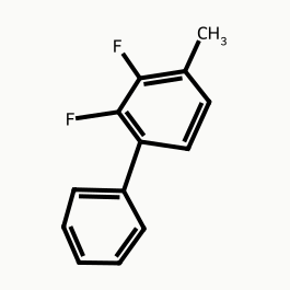 Cc1ccc(-c2ccccc2)c(F)c1F